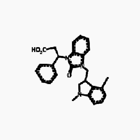 Cc1cccc2c1C(Cn1c(=O)n([C@H](CC(=O)O)c3ccccc3)c3ccccc31)CN2C